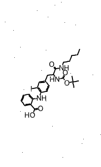 CCCCCNC(=O)C(Cc1ccc(Nc2ccccc2C(=O)O)c(I)c1)NC(=O)OC(C)(C)C